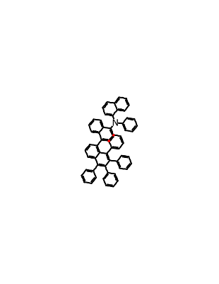 c1ccc(-c2c(-c3ccccc3)c(-c3ccccc3)c3c(-c4ccc(N(c5ccccc5)c5cccc6ccccc56)c5ccccc45)cccc3c2-c2ccccc2)cc1